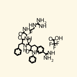 N=C(N)NCCC[C@H](NC(=O)C(Cc1ccccc1)NC(=O)C(Cc1ccc(C(=N)N)cc1)C(=O)Nc1ccccc1)C(N)=O.O=C(O)C(F)(F)F